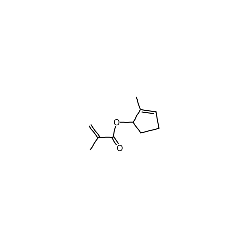 C=C(C)C(=O)OC1CCC=C1C